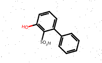 O=S(=O)(O)c1c(O)cccc1-c1ccccc1